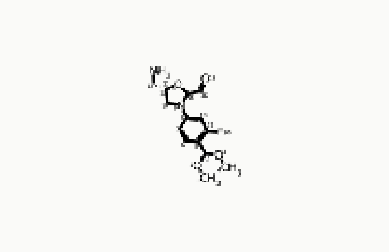 COC(OC)c1ccc(N2C[C@H](CN)OC2C=O)cc1F